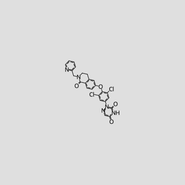 O=C1c2ccc(Oc3c(Cl)cc(-n4ncc(=O)[nH]c4=O)cc3Cl)cc2CCN1Cc1ccccn1